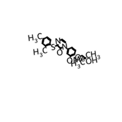 COc1cc(-n2ccnc(Sc3ccc(C)cc3C)c2=O)ccc1OCC(C)(C)O